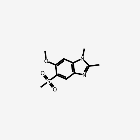 COc1cc2c(cc1S(C)(=O)=O)nc(C)n2C